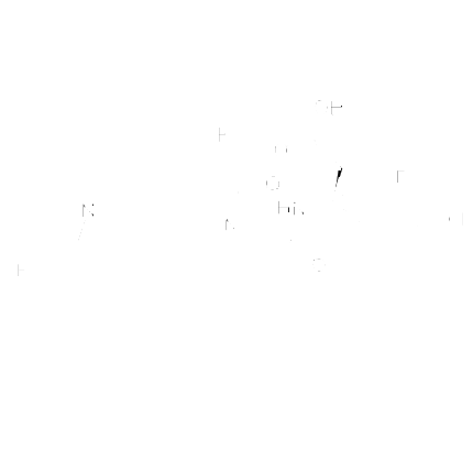 Cc1cccc(C)c1-c1cc(Cl)c(F)c([C@H](CC(=O)O)NC(=O)C(CC(C)C)n2cc(CCN3CCC(F)C3)cc(F)c2=O)c1